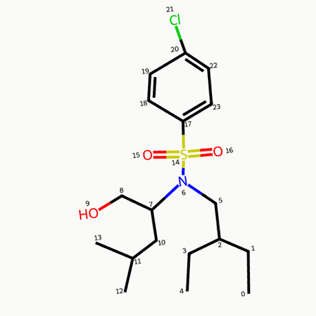 CCC(CC)CN(C(CO)CC(C)C)S(=O)(=O)c1ccc(Cl)cc1